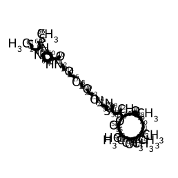 CSCc1nc2ccc(C(=O)NCCOCCOCCOCCO/N=C/c3ncc(/C=C(\C)C4CC5O[C@]5(C)CCC[C@H](C)[C@H](C)[C@@H](C)C(=O)C(C)(C)[C@@H](O)CC(=O)O4)s3)cc2nc1CSC